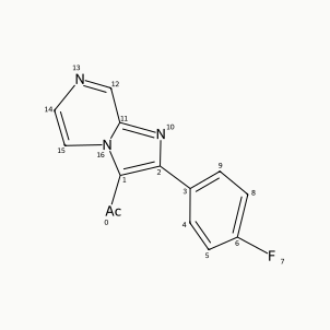 CC(=O)c1c(-c2ccc(F)cc2)nc2cnccn12